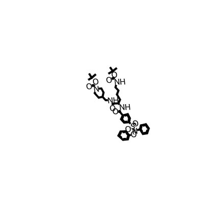 CC(C)(C)OC(=O)NCCCCC(NC(=O)c1ccc(S(=O)(=O)N(Oc2ccccc2)c2ccccc2)cc1)C(=O)NCC1CCN(C(=O)OC(C)(C)C)CC1